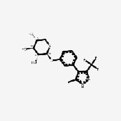 Cc1[nH]nc(C(F)(F)F)c1-c1cccc(O[C@@H]2SC[C@@H](O)[C@H](O)[C@H]2O)c1